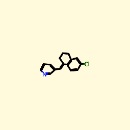 Clc1ccc2c(c1)CCCC2=Cc1cccnc1